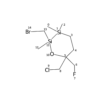 C[Si]1(C)CCC(CF)(CCl)O[Si]1(C)CBr